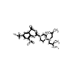 CC(C)CN(CC(C)C)N1CCN(c2nc(=O)c3cc(C(F)(F)F)cc([N+](=O)[O-])c3s2)CC1